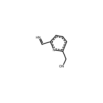 N=Cc1cccc(CN=O)n1